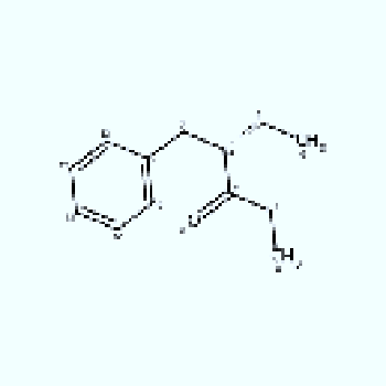 CCC(=O)[C@@H](CC)Cc1ccccc1